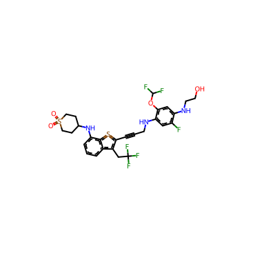 O=S1(=O)CCC(Nc2cccc3c(CC(F)(F)F)c(C#CCNc4cc(F)c(NCCO)cc4OC(F)F)sc23)CC1